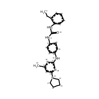 CCc1ccccc1NC(=O)Nc1ccc(Nc2nc(C)cc(N3CCCC3)n2)cc1